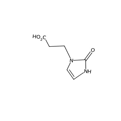 O=C(O)CCn1cc[nH]c1=O